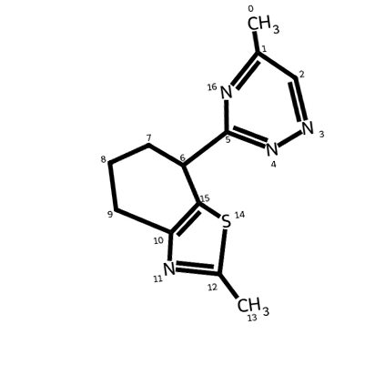 Cc1cnnc(C2CCCc3nc(C)sc32)n1